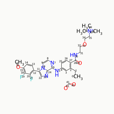 CCc1cc(Nc2nccn3c(-c4ccc(OC)c(F)c4F)cnc23)ccc1C(=O)NCCOCC[N+](C)(C)C.O=C[O-]